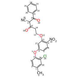 Cc1ccc(Oc2ccc([N+](=O)[O-])c(OCCC(=O)C(C#N)C(=O)c3ccccc3)c2)c(Cl)c1